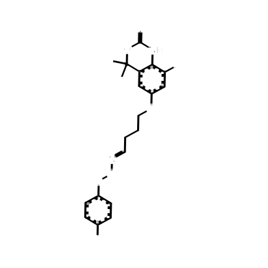 CC1(C)OC(=O)Nc2c(Cl)cc(OCCCC=NOSc3ccc(Cl)cc3)cc21